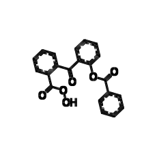 O=C(Oc1ccccc1C(=O)c1ccccc1C(=O)OO)c1ccccc1